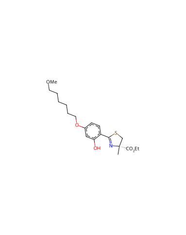 CCOC(=O)[C@@]1(C)CSC(c2ccc(OCCCCCCOC)cc2O)=N1